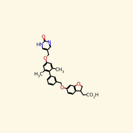 Cc1cc(OCc2cnc(=O)[nH]c2)cc(C)c1-c1cccc(COc2ccc3c(c2)OCC3CC(=O)O)c1